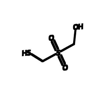 O=S(=O)(CO)CS